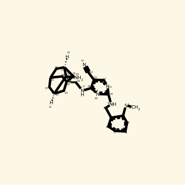 CSc1ccccc1CNc1ncc(C#N)c(NC[C@]23CC4C[C@H](C2)[C@@H](N)[C@@H](C4)C3)n1